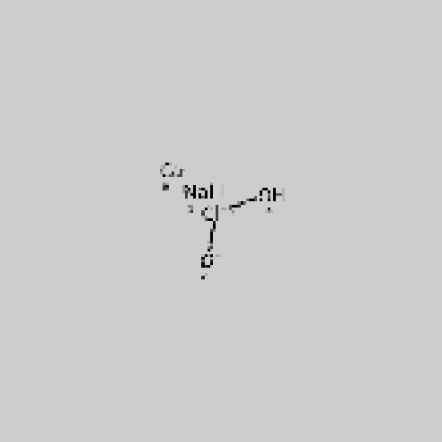 [Cu].[NaH].[O-][Cl+]O